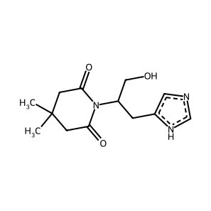 CC1(C)CC(=O)N(C(CO)Cc2cnc[nH]2)C(=O)C1